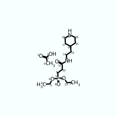 CC(=O)O.CCOP(=O)(CCC(=O)NCCC1CCNCC1)OCC